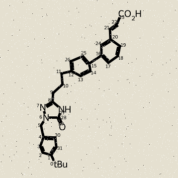 CC(C)(C)c1ccc(Cn2nc(CCCc3ccc(-c4cccc(/C=C/C(=O)O)c4)cc3)[nH]c2=O)cc1